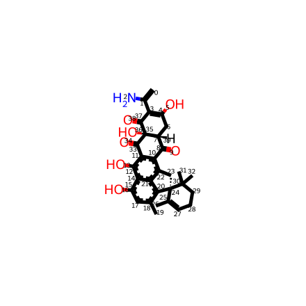 C=C(N)C1=C(O)C[C@@H]2C(=O)c3c(c(O)c4c(O)cc(C)c5c4c3C[C@]53C(C)=CCCC3(C)C)C(=O)[C@]2(O)C1=O